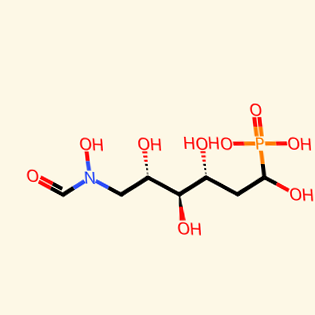 O=CN(O)C[C@H](O)[C@H](O)[C@H](O)CC(O)P(=O)(O)O